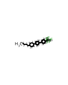 CCCCCC1CCC(c2ccc(-c3ccc(C(F)(F)C(F)(F)F)cc3)cc2)CC1